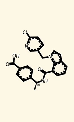 C[C@H](NC(=O)c1cccc2ccn(Cc3ccc(Cl)nc3)c12)c1ccc(C(=O)O)cc1